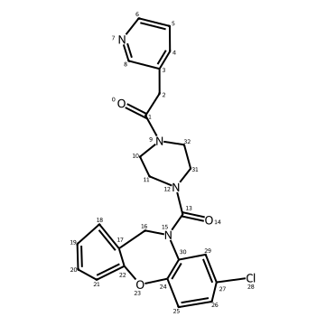 O=C(Cc1cccnc1)N1CCN(C(=O)N2Cc3ccccc3Oc3ccc(Cl)cc32)CC1